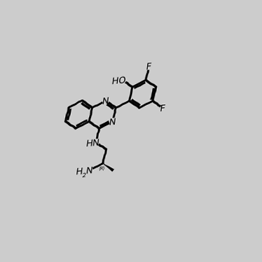 C[C@@H](N)CNc1nc(-c2cc(F)cc(F)c2O)nc2ccccc12